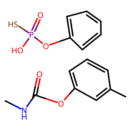 CNC(=O)Oc1cccc(C)c1.O=P(O)(S)Oc1ccccc1